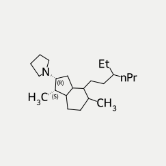 CCCC(CC)CCC1C(C)CCC2C1C[C@@H](N1CCCC1)[C@H]2C